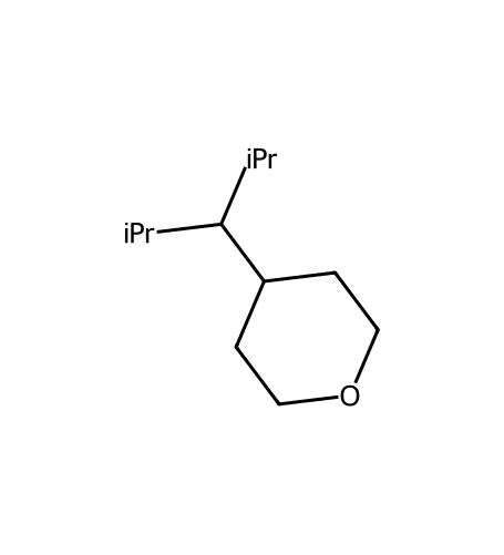 CC(C)C(C(C)C)C1CCOCC1